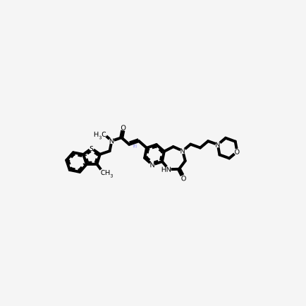 Cc1c(CN(C)C(=O)/C=C/c2cnc3c(c2)CN(CCCN2CCOCC2)CC(=O)N3)sc2ccccc12